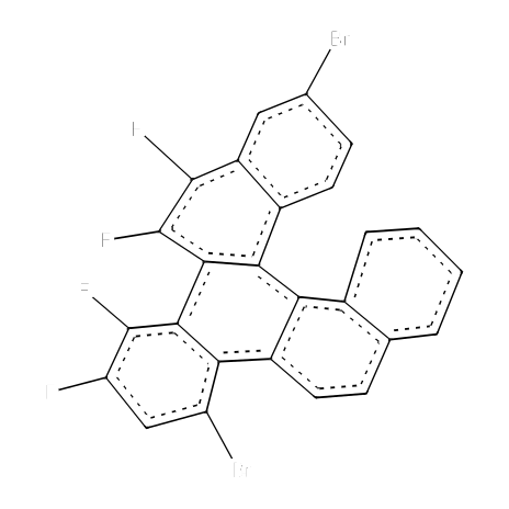 Fc1cc(Br)c2c3ccc4ccccc4c3c3c4ccc(Br)cc4c(F)c(F)c3c2c1F